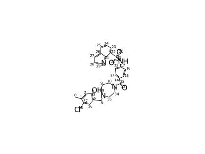 Cc1cc(O)c(CN2CCCN(C(=O)c3ccc(NS(=O)(=O)c4cccc5cccnc45)cc3)CC2)cc1Cl